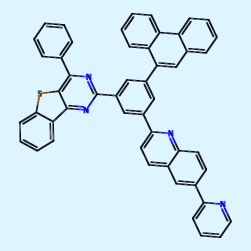 c1ccc(-c2nc(-c3cc(-c4ccc5cc(-c6ccccn6)ccc5n4)cc(-c4cc5ccccc5c5ccccc45)c3)nc3c2sc2ccccc23)cc1